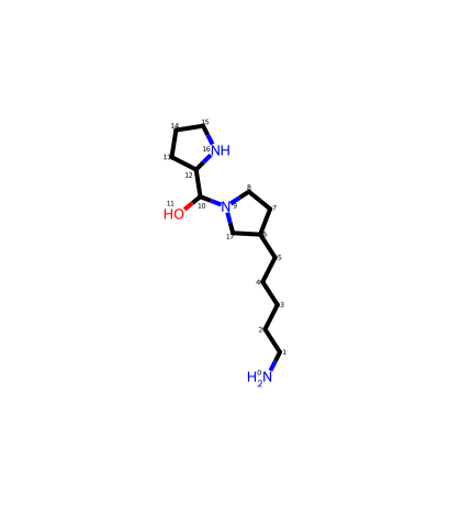 NCCCCCC1CCN(C(O)C2CCCN2)C1